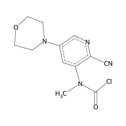 CN(C(=O)Cl)c1cc(N2CCOCC2)cnc1C#N